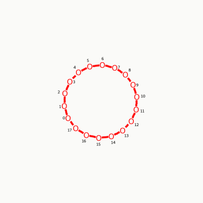 O1OOOOOOOOOOOOOOOOO1